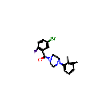 Cc1cccc(N2CCN(C(=O)c3cc(Br)ccc3I)CC2)c1C